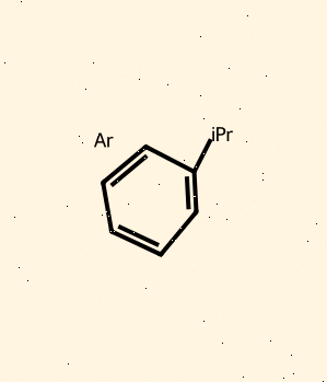 CC(C)c1ccccc1.[Ar]